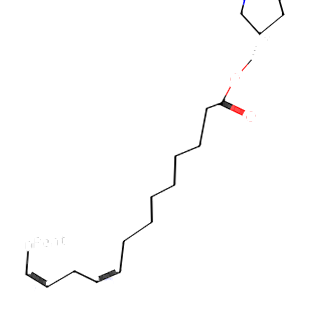 CCCCC/C=C\C/C=C\CCCCCCCC(=O)OC[C@H]1CCNC1